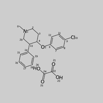 CN1CCC(Oc2ccc(Cl)cc2)C(c2ccccc2)C1.O=C(O)C(=O)O